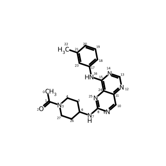 CC(=O)N1CCC(Nc2ncc3ncnc(Nc4cccc(C)c4)c3n2)CC1